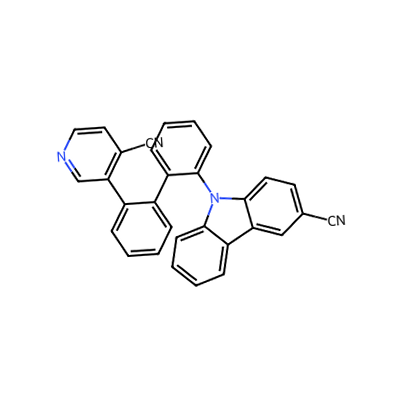 N#Cc1ccc2c(c1)c1ccccc1n2-c1ccccc1-c1ccccc1-c1cnccc1C#N